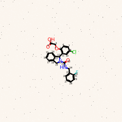 O=C(O)COc1ccc(Cl)cc1C1c2ccccc2CN1C(=O)NCc1ccccc1F